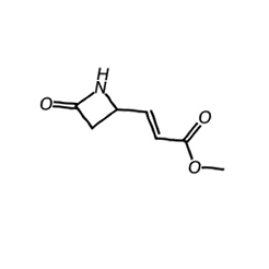 COC(=O)C=CC1CC(=O)N1